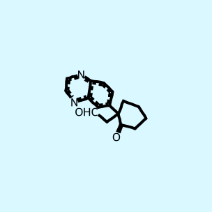 O=CCC1(c2ccc3nccnc3c2)CCCCC1=O